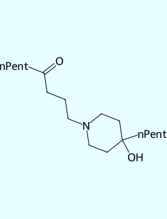 CCCCCC(=O)CCCN1CCC(O)(CCCCC)CC1